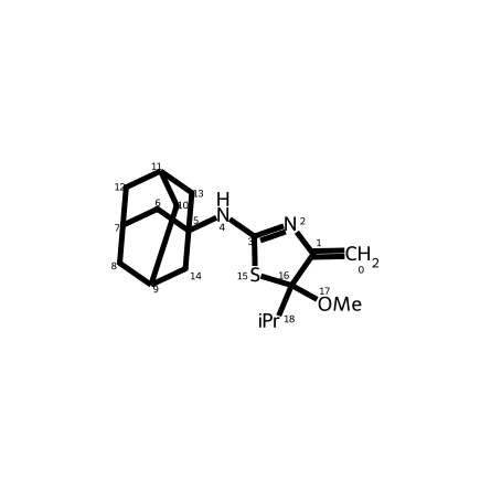 C=C1N=C(NC23CC4CC(CC(C4)C2)C3)SC1(OC)C(C)C